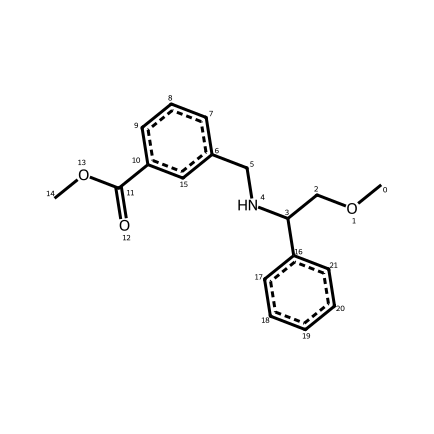 COCC(NCc1cccc(C(=O)OC)c1)c1ccccc1